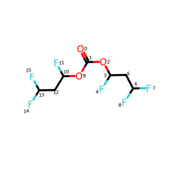 O=C(OC(F)CC(F)F)OC(F)CC(F)F